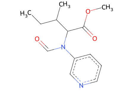 CCC(C)C(C(=O)OC)N(C=O)c1cccnc1